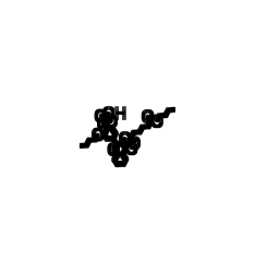 CCCCOC(=O)CCCCC(=O)Oc1c(-c2ccc(OS(=O)(=O)O)c(OCCCC)c2)oc2ccccc2c1=O